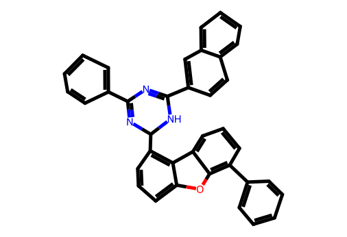 c1ccc(C2=NC(c3cccc4oc5c(-c6ccccc6)cccc5c34)NC(c3ccc4ccccc4c3)=N2)cc1